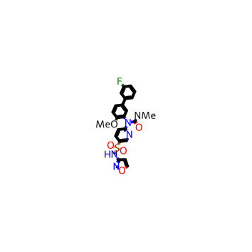 CNC(=O)N(c1ccc(S(=O)(=O)Nc2ccon2)cn1)c1cc(-c2cccc(F)c2)ccc1OC